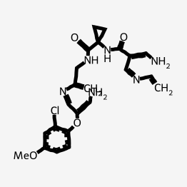 C=C/N=C\C(=C/N)C(=O)NC1(C(=O)NCC(=C)/N=C\C(=C/N)Oc2ccc(OC)cc2Cl)CC1